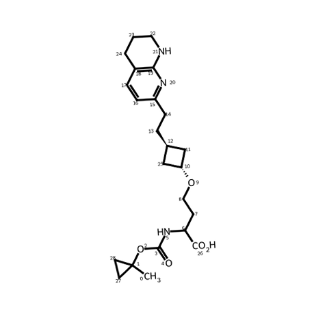 CC1(OC(=O)NC(CCO[C@H]2C[C@H](CCc3ccc4c(n3)NCCC4)C2)C(=O)O)CC1